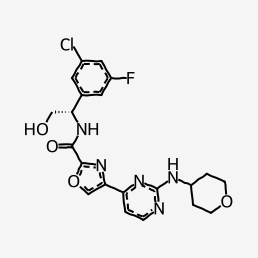 O=C(N[C@H](CO)c1cc(F)cc(Cl)c1)c1nc(-c2ccnc(NC3CCOCC3)n2)co1